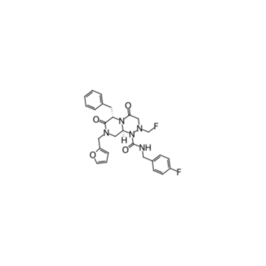 O=C1[C@H](Cc2ccccc2)N2C(=O)CN(CF)N(C(=O)NCc3ccc(F)cc3)[C@H]2CN1Cc1ccco1